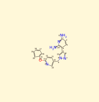 Nc1ccc(-c2cnn(Cc3ccc(Oc4ccccc4)nc3)c2)c(N)n1